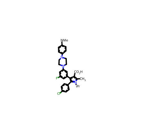 CNc1ccc(N2CCN(c3cc(F)cc(-c4c(C(=O)O)c(C)n(C(C)C)c4-c4ccc(Cl)cc4)c3)CC2)cc1